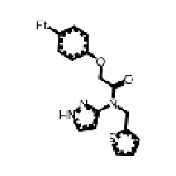 CCc1ccc(OCC(=O)N(Cc2cccs2)c2cc[nH]n2)cc1